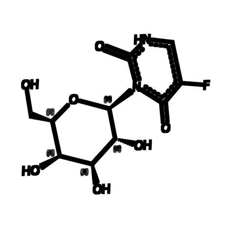 O=c1[nH]cc(F)c(=O)n1[C@@H]1O[C@H](CO)[C@H](O)[C@H](O)[C@H]1O